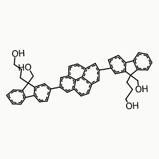 OCCCC1(CO)c2ccccc2-c2ccc(-c3cc4ccc5cc(-c6ccc7c(c6)C(CO)(CCCO)c6ccccc6-7)cc6ccc(c3)c4c56)cc21